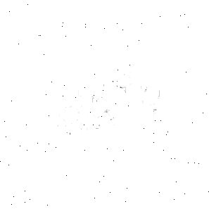 CCn1c(Cn2ccc(OCC(F)F)n2)cc(=O)c(C(=O)O)c1-c1ccc(Cl)c(Cl)c1